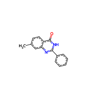 Cc1ccc2c(=O)[nH]c(-c3ccccc3)nc2c1